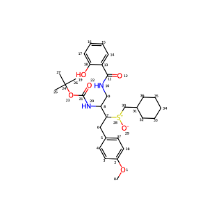 COc1ccc(CC(C(CNC(=O)c2ccccc2O)NC(=O)OC(C)(C)C)[S+]([O-])CC2CCCCC2)cc1